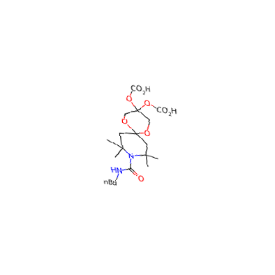 CCCCNC(=O)N1C(C)(C)CC2(CC1(C)C)OCC(OC(=O)O)(OC(=O)O)CO2